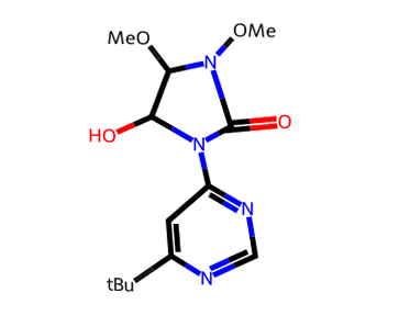 COC1C(O)N(c2cc(C(C)(C)C)ncn2)C(=O)N1OC